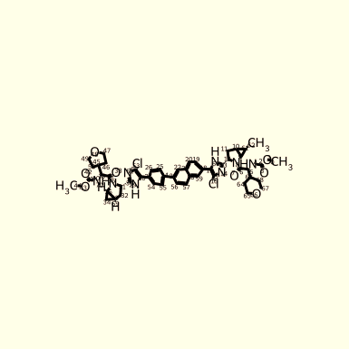 COC(=O)NC(C(=O)N1C2C(C[C@H]1c1nc(Cl)c(-c3ccc4cc(-c5ccc(-c6[nH]c([C@@H]7C[C@H]8C[C@H]8N7C(=O)[C@@H](NC(=O)OC)C7CCOCC7)nc6Cl)cc5)ccc4c3)[nH]1)[C@H]2C)C1CCOCC1